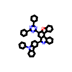 c1ccc(-c2nc(-c3ccccc3)nc(-c3cc4c(-c5ccc6c(c5)c5ccccc5n6-c5ccccc5)nc5ccccc5c4c4c3oc3ccccc34)n2)cc1